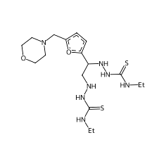 CCNC(=S)NNCC(NNC(=S)NCC)c1ccc(CN2CCOCC2)o1